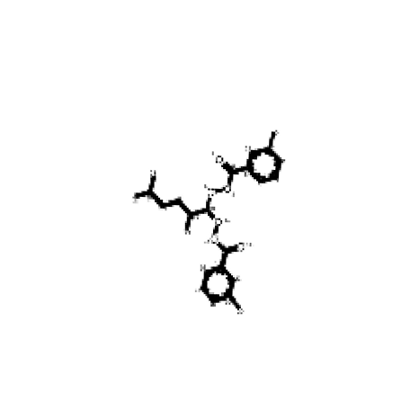 Cc1cccc(C(=O)OOC(OOC(=O)c2cccc(C)c2)C(C)CCC(C)C)c1